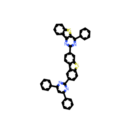 c1ccc(-c2cc(-c3ccccc3)nc(-c3ccc4sc5cc(-c6nc(-c7ccccc7)c7sc8ccccc8c7n6)ccc5c4c3)n2)cc1